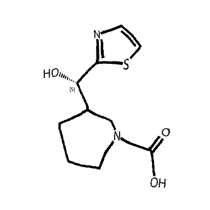 O=C(O)N1CCCC([C@H](O)c2nccs2)C1